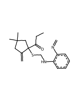 C=Nc1ccccc1NCSC1(C(=O)CC)CC(C)(C)CC1=C